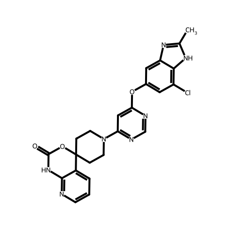 Cc1nc2cc(Oc3cc(N4CCC5(CC4)OC(=O)Nc4ncccc45)ncn3)cc(Cl)c2[nH]1